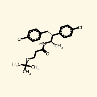 C[C@@H](NC(=O)CCOC(C)(C)C)[C@H](Cc1ccc(Cl)cc1)c1ccc(Cl)cc1